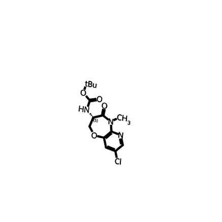 CN1C(=O)[C@@H](NC(=O)OC(C)(C)C)COc2cc(Cl)cnc21